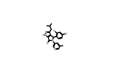 CC(C)Cc1n[nH]c2c1C(c1ccc(Cl)cc1F)N(c1cncc(F)c1)C2=O